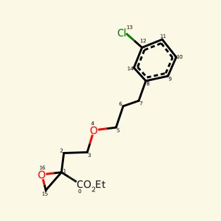 CCOC(=O)C1(CCOCCCc2cccc(Cl)c2)CO1